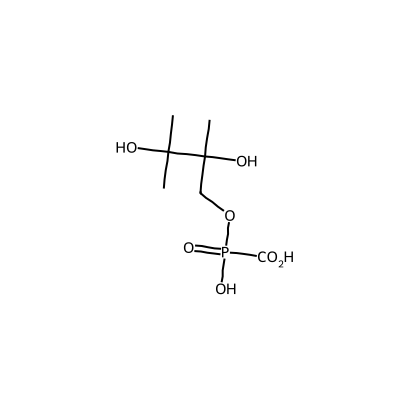 CC(C)(O)C(C)(O)COP(=O)(O)C(=O)O